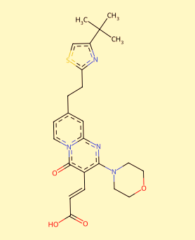 CC(C)(C)c1csc(CCc2ccn3c(=O)c(C=CC(=O)O)c(N4CCOCC4)nc3c2)n1